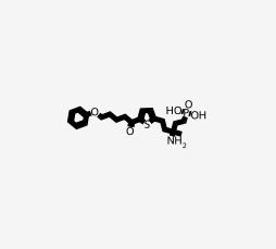 CC(N)(CCc1ccc(C(=O)CCCCOc2ccccc2)s1)CCP(=O)(O)O